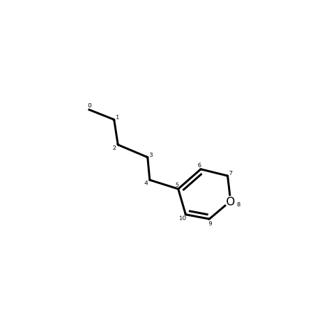 CCCCCC1=CCOC=C1